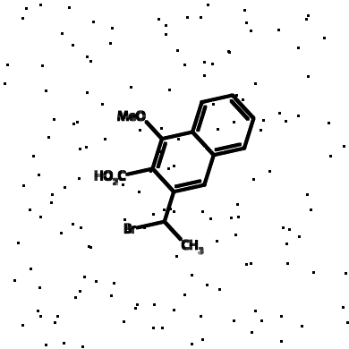 COc1c(C(=O)O)c(C(C)Br)cc2ccccc12